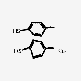 Cc1ccc(S)cc1.Cc1ccc(S)cc1.[Cu]